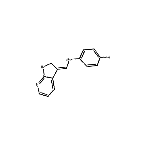 Ic1ccc(NC=C2CNc3ncccc32)cc1